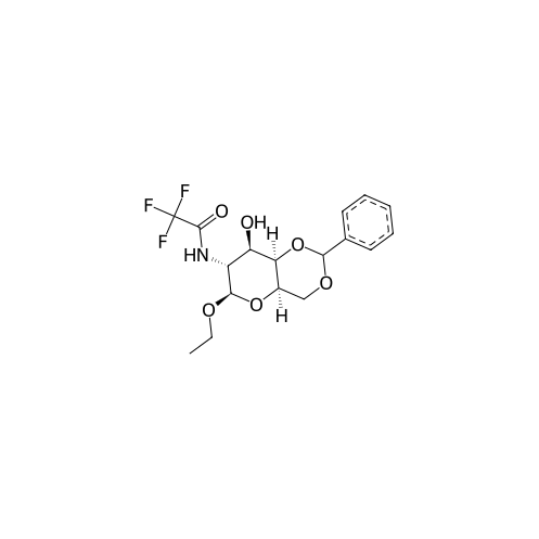 CCO[C@@H]1O[C@@H]2COC(c3ccccc3)O[C@@H]2[C@H](O)[C@H]1NC(=O)C(F)(F)F